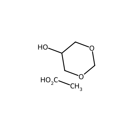 CC(=O)O.OC1COCOC1